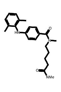 CNC(=O)CCCCN(C)C(=O)c1ccc(Nc2c(C)cccc2C)cc1